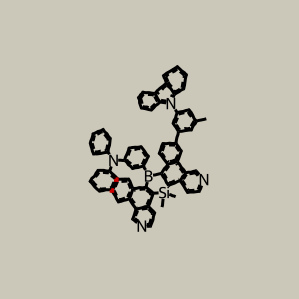 Cc1cc(-c2ccc3c4c(c5ccncc5c3c2)[Si](C)(C)c2c(c3ccccc3c3cnccc23)B4c2cccc(N(c3ccccc3)c3ccccc3)c2)cc(-n2c3ccccc3c3ccccc32)c1